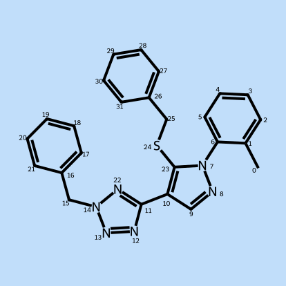 Cc1ccccc1-n1ncc(-c2nnn(Cc3ccccc3)n2)c1SCc1ccccc1